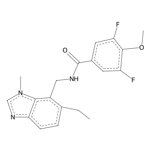 CCc1ccc2ncn(C)c2c1CNC(=O)c1cc(F)c(OC)c(F)c1